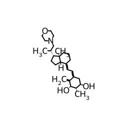 C=C1C(=CC=C2CCC[C@]3(C)[C@@H](C(C)CN4CCOCC4)CC[C@@H]23)C[C@@H](O)[C@H](C)[C@@H]1O